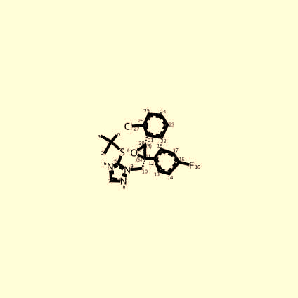 CC(C)(C)Sc1ncnn1C[C@]1(c2ccc(F)cc2)O[C@@H]1c1ccccc1Cl